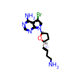 NCC/C=C/[C@H]1CC[C@H](n2cc(Br)c3c(N)ncnc32)O1